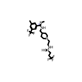 C/N=C(\NCC1CCN(CCNN(O)CCC(F)(F)F)CC1)c1cc(C)cc(C(F)(F)F)c1